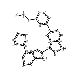 CCNCc1cncc(-c2cc3c(-c4cc5c(-c6ccccn6)cccc5[nH]4)n[nH]c3cn2)c1